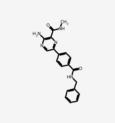 CNC(=O)c1nc(-c2ccc(C(=O)NCc3ccccc3)cc2)cnc1N